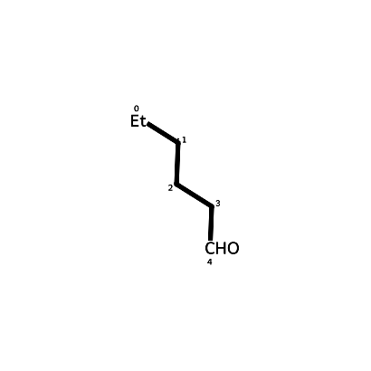 CC[CH]CCC=O